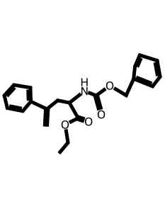 C=C(CC(NC(=O)OCc1ccccc1)C(=O)OCC)c1ccccc1